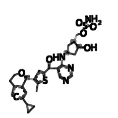 Cc1sc(C(=O)c2cncnc2N[C@@H]2C[C@H](COS(N)(=O)=O)[C@@H](O)C2)cc1[C@H]1OCCc2ccc(C3CC3)cc21